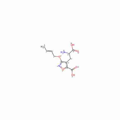 C/C=C/COc1noc(C(=O)O)c1CC(N)C(=O)O